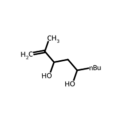 C=C(C)C(O)CC(O)CCCC